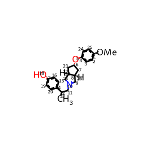 COc1ccc(O[C@@H]2C[C@@H]3CN(CC(C)c4ccc(O)cc4)C[C@@H]3C2)cc1